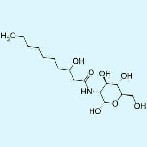 CCCCCCCC(O)CC(=O)N[C@@H]1[C@@H](O)[C@H](O)[C@@H](CO)O[C@@H]1O